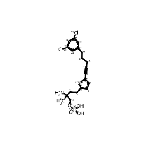 CC(N)(CCc1ccc(C#CCCCc2cc(Cl)cc(Cl)c2)s1)COP(=O)(O)O